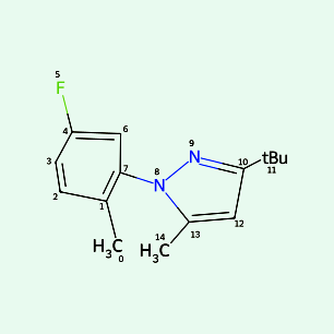 Cc1ccc(F)cc1-n1nc(C(C)(C)C)cc1C